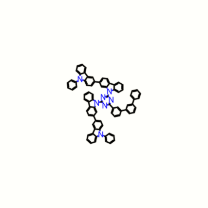 c1ccc(-c2cccc(-c3cccc(-c4nc(-n5c6ccccc6c6ccc(-c7ccc8c(c7)c7ccccc7n8-c7ccccc7)cc65)nc(-n5c6ccccc6c6ccc(-c7ccc8c(c7)c7ccccc7n8-c7ccccc7)cc65)n4)c3)c2)cc1